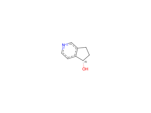 O[C@H]1CCc2cnccc21